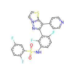 O=S(=O)(Nc1ccc(F)c(-c2nn3ccsc3c2-c2ccncc2)c1F)c1cc(F)ccc1F